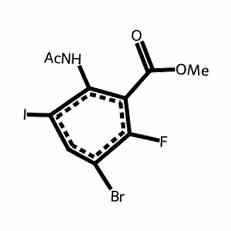 COC(=O)c1c(F)c(Br)cc(I)c1NC(C)=O